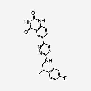 CC(CNc1ccc(-c2ccc3[nH]c(=O)[nH]c(=O)c3c2)nn1)c1ccc(F)cc1